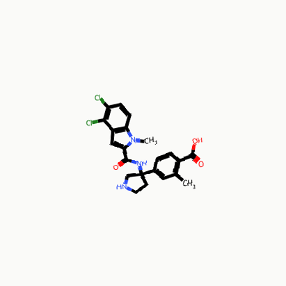 Cc1cc(C2(NC(=O)c3cc4c(Cl)c(Cl)ccc4n3C)CCNC2)ccc1C(=O)O